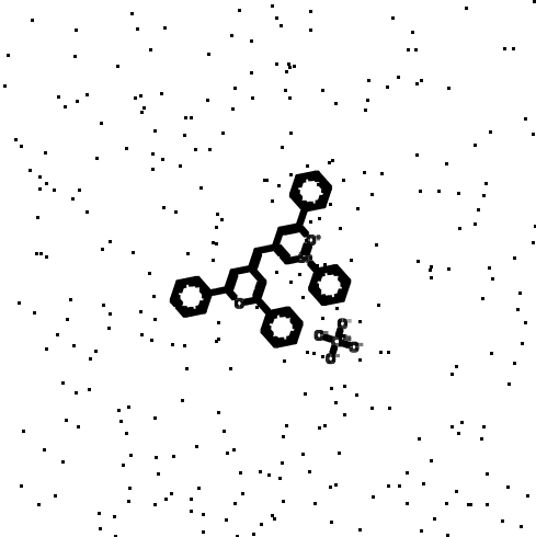 C(=C1C=C(c2ccccc2)OC(c2ccccc2)=C1)C1=C[Se](c2ccccc2)=[O+]C(c2ccccc2)=C1.[O-][Cl+3]([O-])([O-])[O-]